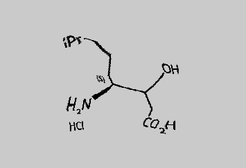 CC(C)C[C@H](N)C(O)C(=O)O.Cl